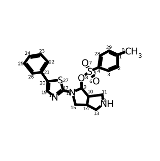 Cc1ccc(S(=O)(=O)OC2C3CNCC3CN2c2ncc(-c3ccccc3)s2)cc1